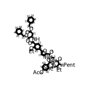 CCCCCC(C(=O)NCNC(=O)c1ccc(-c2ccc(C(=O)NC(CC(=O)OCc3ccccc3)C(=O)OCc3ccccc3)c(OCC)c2)o1)[C@@H](CC)N(C=O)OC(=O)c1ccc(OC(C)=O)cc1